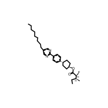 CCCCCCCCCc1cnc(-c2ccc([C@H]3CC[C@H](OC(=O)[C@@H](F)[C@@H](C)CC)CC3)cc2)nc1